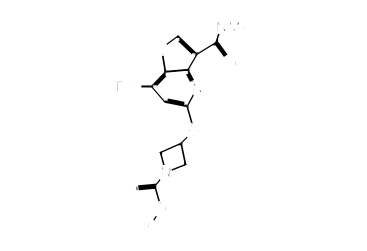 CNC(=O)c1csc2c(C(F)(F)F)cc(OC3CN(C(=O)OC(C)(C)C)C3)nc12